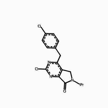 CC(C)N1Cc2c(Cc3ccc(Cl)cc3)nc(Cl)nc2C1=O